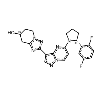 O[C@H]1CCn2nc(-c3cnn4ccc(N5CCC[C@@H]5c5cc(F)ccc5F)nc34)nc2C1